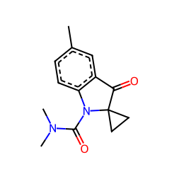 Cc1ccc2c(c1)C(=O)C1(CC1)N2C(=O)N(C)C